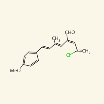 C=C(Cl)\C=C(C=O)/C=C(C)/C=C/c1ccc(OC)cc1